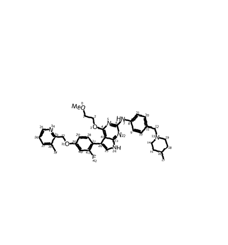 COCCOc1nc(Nc2ccc(CN3CCC(C)CC3)cc2)nc2[nH]cc(-c3ccc(OCc4ncccc4C)cc3F)c12